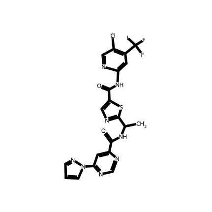 CC(NC(=O)c1cc(-n2cccn2)ncn1)c1ncc(C(=O)Nc2cc(C(F)(F)I)c(Cl)cn2)s1